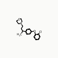 CC(CCN1CCOCC1)c1ccc(Oc2ccccc2Cl)cc1